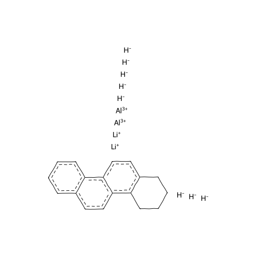 [Al+3].[Al+3].[H-].[H-].[H-].[H-].[H-].[H-].[H-].[H-].[Li+].[Li+].c1ccc2c(c1)ccc1c3c(ccc12)CCCC3